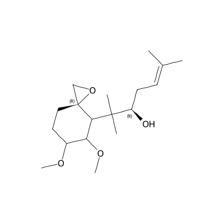 COC1CC[C@]2(CO2)C(C(C)(C)[C@H](O)CC=C(C)C)C1OC